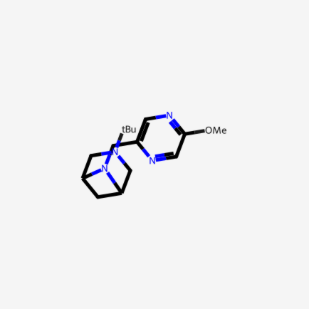 COc1cnc(CN2C3CC2CN(C(C)(C)C)C3)cn1